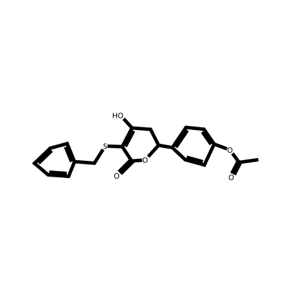 CC(=O)Oc1ccc(C2CC(O)=C(SCc3ccccc3)C(=O)O2)cc1